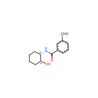 O=Cc1cccc(C(=O)N[C@H]2CCCC[C@@H]2O)c1